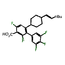 CCCCC=CC1CCC(c2cc(F)c(C(=O)O)c(F)c2-c2cc(F)c(F)c(F)c2)CC1